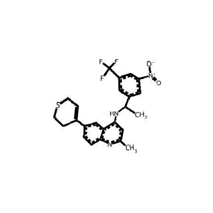 Cc1cc(NC(C)c2cc([N+](=O)[O-])cc(C(F)(F)F)c2)c2cc(C3=CCSCC3)ccc2n1